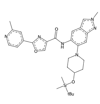 Cc1cc(-c2nc(C(=O)Nc3cc4cn(C)nc4cc3N3CCC(O[Si](C)(C)C(C)(C)C)CC3)co2)ccn1